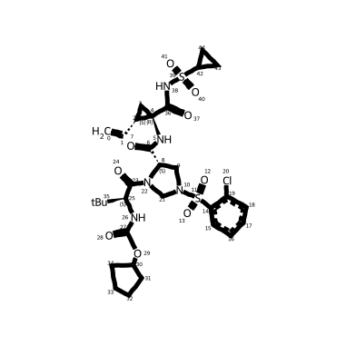 C=C[C@@H]1C[C@]1(NC(=O)[C@@H]1CN(S(=O)(=O)c2ccccc2Cl)CN1C(=O)[C@@H](NC(=O)OC1CCCC1)C(C)(C)C)C(=O)NS(=O)(=O)C1CC1